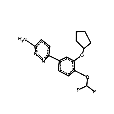 Nc1ccc(-c2ccc(OC(F)F)c(OC3CCCC3)c2)nn1